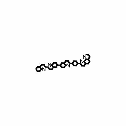 c1ccc2nc(-c3ccc4cc(-c5ccc6nc(-c7ccc(-c8ccc9ccc%10cccnc%10c9n8)cc7)ccc6c5)ccc4n3)ccc2c1